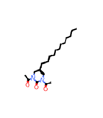 CCCCCCCCCCCCC1=CN(C(C)=O)C(=O)N(C(C)=O)C1